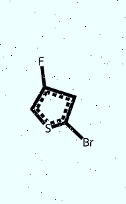 Fc1csc(Br)c1